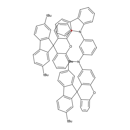 CC(C)(C)c1ccc2c(c1)C1(c3ccccc3Oc3ccc(N(c4cccc(-n5c6ccccc6c6ccccc65)c4)c4cccc5c4Oc4ccccc4C54c5cc(C(C)(C)C)ccc5-c5ccc(C(C)(C)C)cc54)cc31)c1cc(C(C)(C)C)ccc1-2